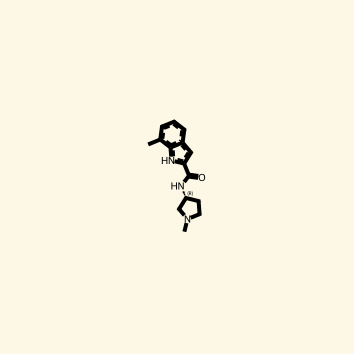 Cc1cccc2cc(C(=O)N[C@@H]3CCN(C)C3)[nH]c12